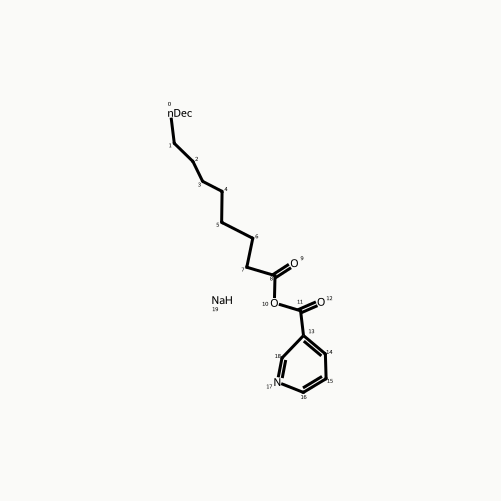 CCCCCCCCCCCCCCCCCC(=O)OC(=O)c1cccnc1.[NaH]